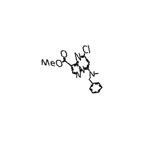 COC(=O)c1cnn2c(N(C)Cc3ccccc3)cc(Cl)nc12